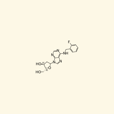 OC[C@H]1OC(n2cnc3c(NCc4ccccc4F)ncnc32)C[C@@H]1O